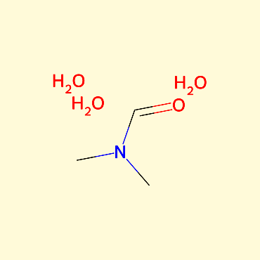 CN(C)C=O.O.O.O